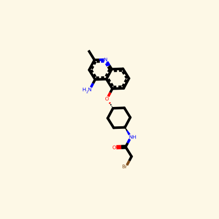 Cc1cc(N)c2c(O[C@H]3CC[C@H](NC(=O)CBr)CC3)cccc2n1